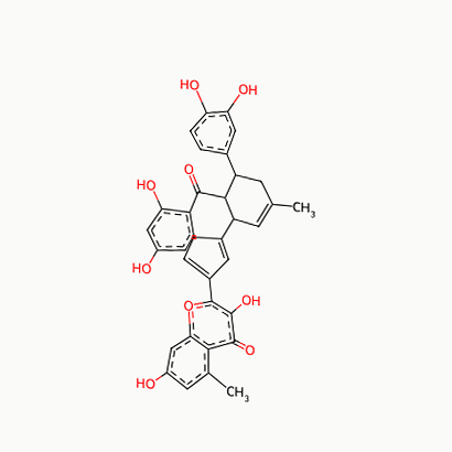 CC1=CC(C2=CC(c3oc4cc(O)cc(C)c4c(=O)c3O)=CC2)C(C(=O)c2ccc(O)cc2O)C(c2ccc(O)c(O)c2)C1